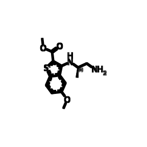 COC(=O)c1sc2ccc(OC)cc2c1N[C@H](C)CN